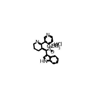 CS(=O)(=O)C(=C1CCCN=C1c1cccnc1)c1c[nH]c2ccccc12.Cl.Cl